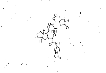 Cn1ccc(NC(=O)C(=O)N2C[C@@H]3CCC[C@@H]3[C@H]2C(=O)NC(C[C@@H]2CCNC2=O)C(=O)COC(F)(F)F)n1